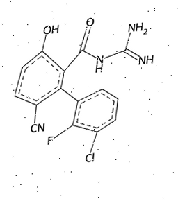 N#Cc1ccc(O)c(C(=O)NC(=N)N)c1-c1cccc(Cl)c1F